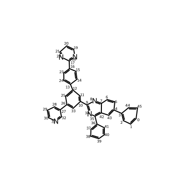 c1ccc(-c2ccc3nc(-c4cc(-c5ccc(-c6ncccn6)cc5)cc(-c5cccnc5)c4)nc(-c4ccccc4)c3c2)cc1